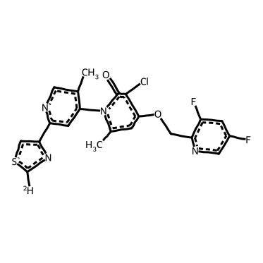 [2H]c1nc(-c2cc(-n3c(C)cc(OCc4ncc(F)cc4F)c(Cl)c3=O)c(C)cn2)cs1